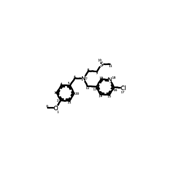 COc1ccc(CN(CCSC)Cc2ccc(Cl)nc2)cc1